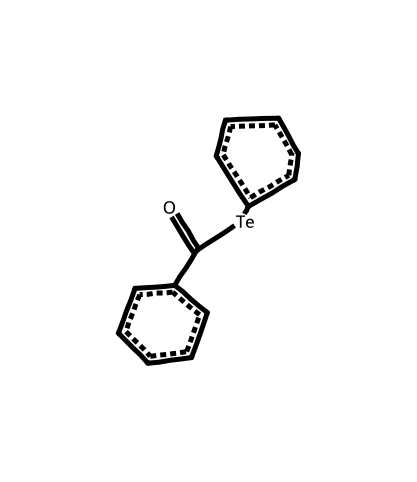 O=C([Te]c1ccccc1)c1ccccc1